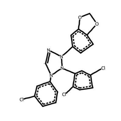 Clc1cccc(N2[C]=NN(c3ccc4c(c3)OCO4)N2c2cc(Cl)ccc2Cl)c1